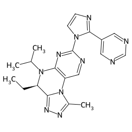 CC[C@@H]1c2nnc(C)n2-c2cnc(-n3ccnc3-c3cncnc3)nc2N1C(C)C